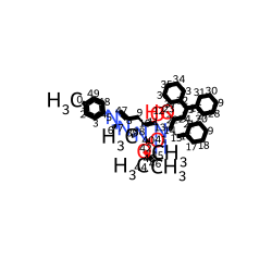 Cc1ccc(-n2cnc(C[C@@H](C(=O)N[C@@H](CC3CCCCC3)[C@@H](O)CC(C3CCCCC3)C3CCCCC3)N(C)C(=O)OC(C)(C)C)c2)cc1